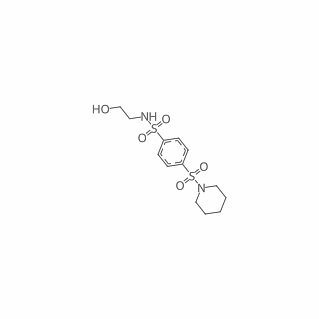 O=S(=O)(NCCO)c1ccc(S(=O)(=O)N2CCCCC2)cc1